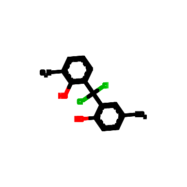 O=[N+]([O-])c1ccc(O)c(C(Cl)(Cl)c2cccc([N+](=O)[O-])c2O)c1